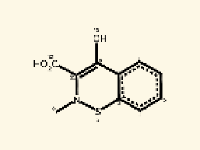 CN1Sc2ccccc2C(O)=C1C(=O)O